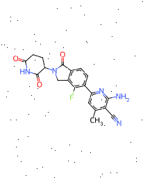 Cc1cc(-c2ccc3c(c2F)CN(C2CCC(=O)NC2=O)C3=O)nc(N)c1C#N